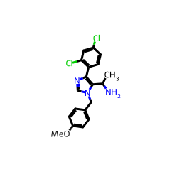 COc1ccc(Cn2cnc(-c3ccc(Cl)cc3Cl)c2C(C)N)cc1